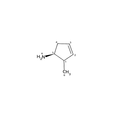 CC1C=CC[C@@H]1N